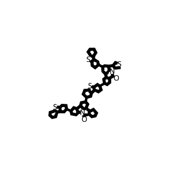 O=c1c2ccccc2c2cc(-c3ccc4sc5cc(-c6ccc7c(=O)n8c9cscc9c9cc(-c%10ccc%11sc%12ccccc%12c%11c%10)cc(c7c6)c98)ccc5c4c3)cc3c4cc(-c5ccc6sc7ccccc7c6c5)ccc4n1c23